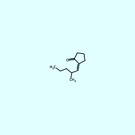 CCCC(C)C=C1CCCC1=O